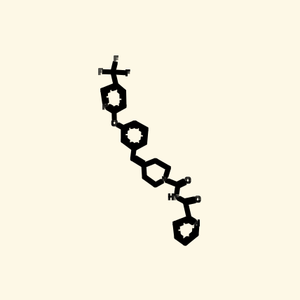 O=C(NC(=O)N1CCC(=Cc2cccc(Oc3ccc(C(F)(F)F)cn3)c2)CC1)c1ccccn1